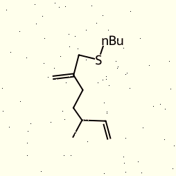 C=CC(C)CCC(=C)CSCCCC